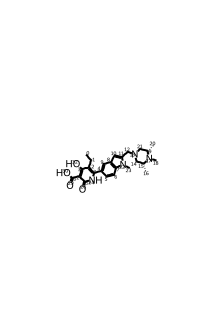 CCc1c(-c2ccc3c(c2)cc(CN2C[C@@H](C)N(C)[C@@H](C)C2)n3C)[nH]c(=O)c(C(=O)O)c1O